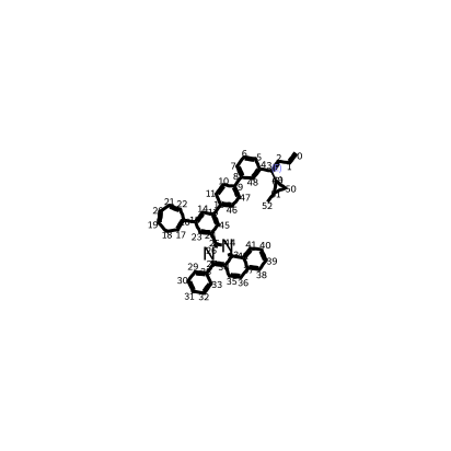 C=C/C=C(/c1cccc(-c2ccc(-c3cc(C4=CCC=CC=C4)cc(-c4nc(-c5ccccc5)c5ccc6ccccc6c5n4)c3)cc2)c1)[C@H]1CC1C